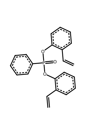 C=Cc1ccccc1OP(=O)(Oc1ccccc1C=C)c1ccccc1